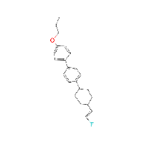 CCCOc1ccc(-c2ccc(C3CCC(/C=C/F)CC3)cc2)cc1